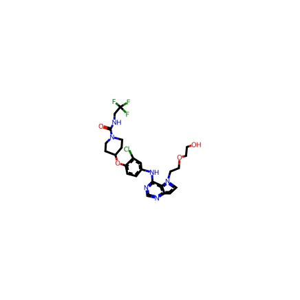 O=C(NCC(F)(F)F)N1CCC(Oc2ccc(Nc3ncnc4ccn(CCOCCO)c34)cc2Cl)CC1